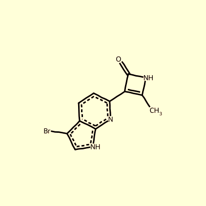 CC1=C(c2ccc3c(Br)c[nH]c3n2)C(=O)N1